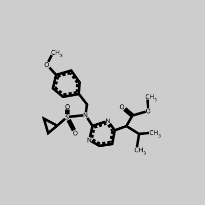 COC(=O)C(c1ccnc(N(Cc2ccc(OC)cc2)S(=O)(=O)C2CC2)n1)C(C)C